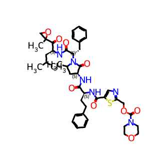 CC(C)C[C@H](NC(=O)[C@H](Cc1ccccc1)N1C(=O)[C@@H](NC(=O)[C@H](CCc2ccccc2)NC(=O)c2cnc(COC(=O)N3CCOCC3)s2)CC1C)C(=O)C1(C)CO1